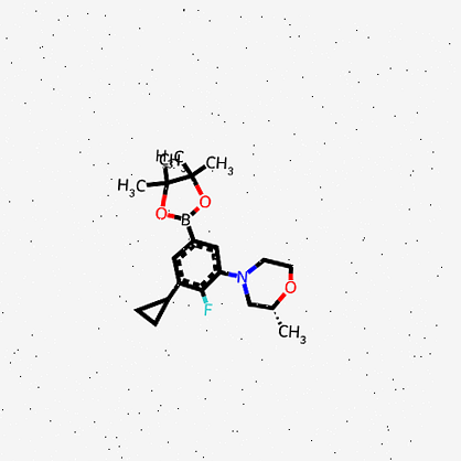 C[C@@H]1CN(c2cc(B3OC(C)(C)C(C)(C)O3)cc(C3CC3)c2F)CCO1